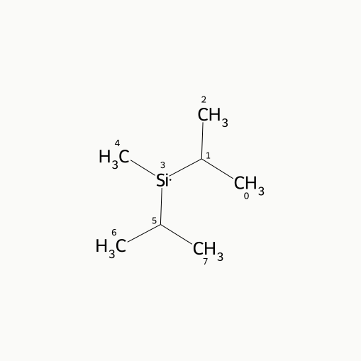 CC(C)[Si](C)C(C)C